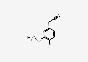 COc1cc(CC#N)ccc1F